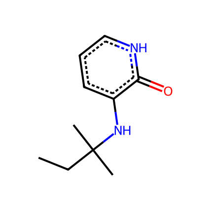 CCC(C)(C)Nc1ccc[nH]c1=O